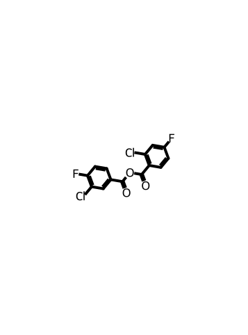 O=C(OC(=O)c1ccc(F)cc1Cl)c1ccc(F)c(Cl)c1